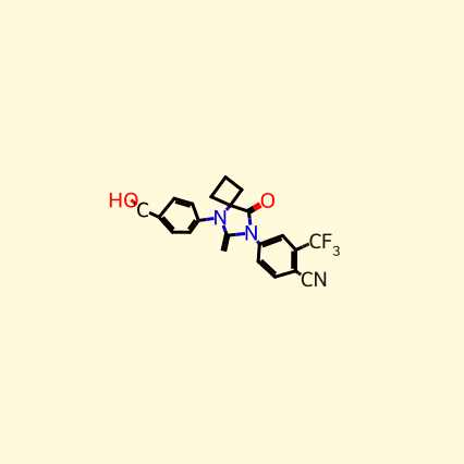 C=C1N(c2ccc(C#N)c(C(F)(F)F)c2)C(=O)C2(CCC2)N1c1ccc(CO)cc1